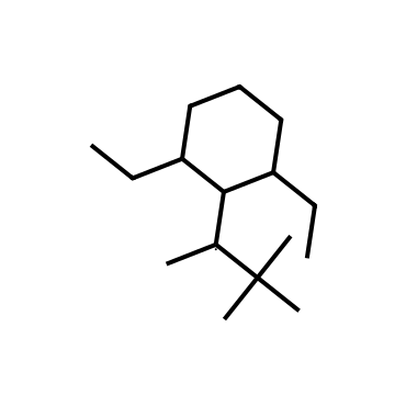 CCC1CCCC(CC)C1[C](C)C(C)(C)C